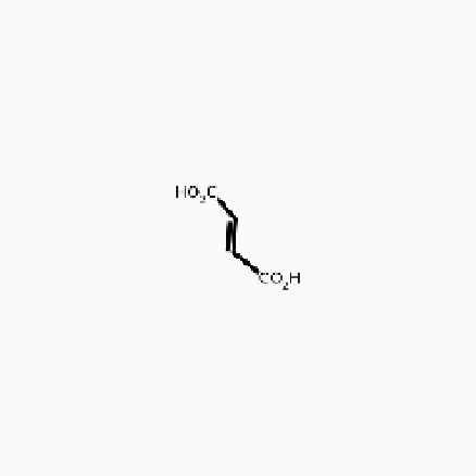 O=C(O)/C=C/[13C](=O)O